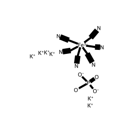 N#[C][Fe-3]([C]#N)([C]#N)([C]#N)([C]#N)[C]#N.O=P([O-])([O-])[O-].[K+].[K+].[K+].[K+].[K+].[K+]